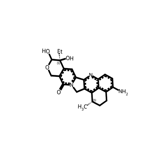 CC[C@]1(O)c2cc3n(c(=O)c2COC1O)Cc1c-3nc2ccc(N)c3c2c1[C@@H](C)CC3